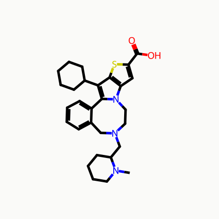 CN1CCCCC1CN1CCn2c(c(C3CCCCC3)c3sc(C(=O)O)cc32)-c2ccccc2C1